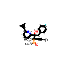 CO[PH](=O)C(C#CC(C)C)(C(=O)O)C(O)(Cc1ccc(F)cc1)c1cccc(C2CC2)n1